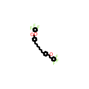 O=C(Cc1cc(F)c(F)c(F)c1)c1ccc(CCCCCCCc2ccc(C(=O)Oc3cc(F)c(F)c(F)c3)cc2)cc1